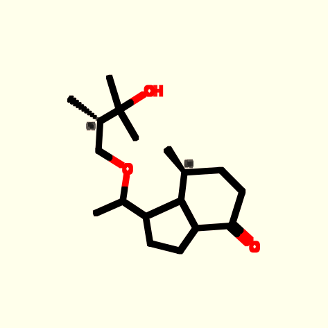 CC(OC[C@H](C)C(C)(C)O)C1CCC2C(=O)CC[C@H](C)C21